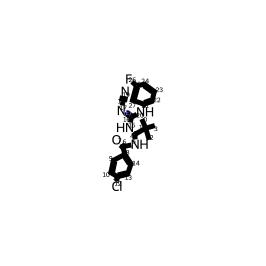 CC(C)(C)C(NC(=O)c1ccc(Cl)cc1)N/C(=N/C#N)Nc1cccc(F)c1